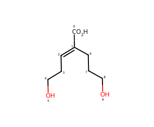 O=C(O)C(=CCCO)CCCO